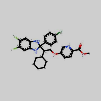 COC(=O)c1ccc(OCC(C2CCCCC2)C2(c3ccc(Cl)cc3)Nc3cc(F)c(F)cc3N2)cn1